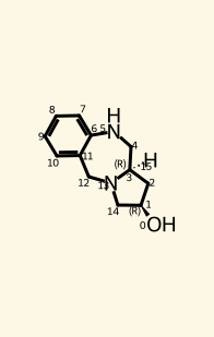 O[C@@H]1C[C@@H]2CNc3ccccc3CN2C1